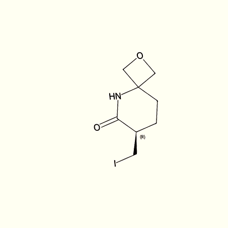 O=C1NC2(CC[C@H]1CI)COC2